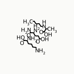 CCCCCNC(C)C(=O)O.NC(=O)C(N)CCC(=O)O.NCCCCC(N)C(=O)O